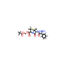 CC(C)(C)C(=O)OCOC(=O)[C@@H]1N2C(=O)C(NC(=O)C(N)c3ccccc3)[C@H]2SC1(C)C